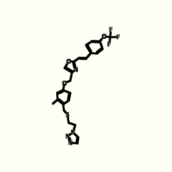 Cc1cc(OCc2coc(C=Cc3ccc(OC(F)(F)F)cc3)n2)ccc1CSCCn1ccnn1